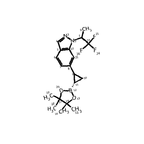 CC(n1ncc2ccc(C3C[C@@H]3B3OC(C)(C)C(C)(C)O3)cc21)C(F)(F)F